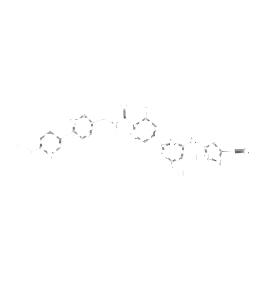 COc1ccc(-c2ccc(CNC(=O)c3ncc(-c4nc(C)cc(Nc5cc(C#N)n[nH]5)n4)cc3F)cn2)cn1